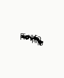 Cc1cc(NC(=O)c2cc(C3CC3NC3CCN(CC(F)(F)F)CC3)cs2)no1